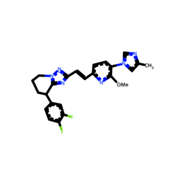 COc1nc(C=Cc2nc3n(n2)CCCC3c2ccc(F)c(F)c2)ccc1-n1cnc(C)c1